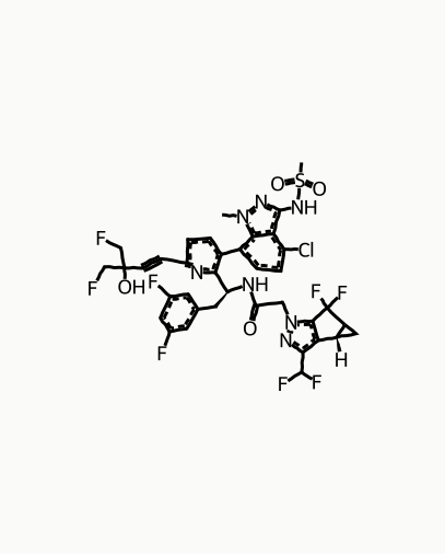 Cn1nc(NS(C)(=O)=O)c2c(Cl)ccc(-c3ccc(C#CC(O)(CF)CF)nc3[C@H](Cc3cc(F)cc(F)c3)NC(=O)Cn3nc(C(F)F)c4c3C(F)(F)C3C[C@H]43)c21